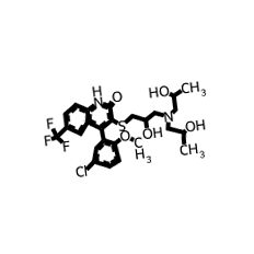 COc1ccc(Cl)cc1-c1c(SCC(O)CN(CC(C)O)CC(C)O)c(=O)[nH]c2ccc(C(F)(F)F)cc12